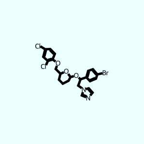 Clc1ccc(OCC2CCCC(OC(Cn3ccnc3)c3ccc(Br)cc3)O2)c(Cl)c1